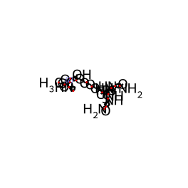 CCOC(=O)C1=C(Nc2ccccc2)S/C(=C\c2ccc(OCCOCCOCCOCCNC(=O)c3cc(NC(=S)Nc4ccc(C(N)=O)cc4)cc(NC(=S)Nc4ccc(C(N)=O)cc4)c3)c(O)c2)C1=O